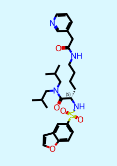 CC(C)CN(CC(C)C)C(=O)[C@H](CCCCNC(=O)Cc1cccnc1)NS(=O)(=O)c1ccc2occc2c1